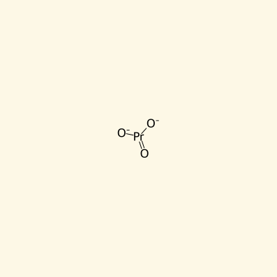 [O]=[Pr]([O-])[O-]